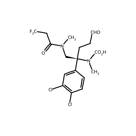 CN(C[C@](CCC=O)(c1ccc(Cl)c(Cl)c1)N(C)C(=O)O)C(=O)CC(F)(F)F